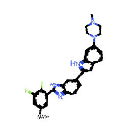 CNc1cc(F)c(F)c(-c2nc3ccc(-c4cc5ccc(N6CCN(C)CC6)cc5[nH]4)cc3[nH]2)c1